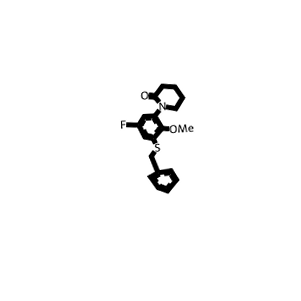 COc1c(SCc2ccccc2)cc(F)cc1N1CCCCC1=O